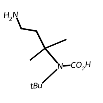 CC(C)(C)N(C(=O)O)C(C)(C)CCN